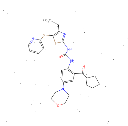 O=C(O)Cc1nc(NC(=O)Nc2ccc(N3CCOCC3)cc2C(=O)C2CCCC2)sc1Sc1ccccn1